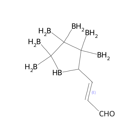 BC1(B)BC(/C=C/C=O)C(B)(B)C1(B)B